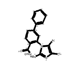 CCCCc1nc(Cl)c(C(C)=O)n1-c1cc(-c2ccccc2)ccc1C(=O)OC